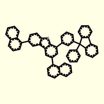 c1ccc(C2(c3cccc(-c4cc(-c5cccc6ccccc56)cc5c4sc4ccc(-c6cccc7ccccc67)cc45)c3)c3ccccc3-c3ccccc32)cc1